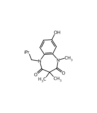 CC(C)CN1C(=O)C(C)(C)C(=O)N(C)c2cc(O)ccc21